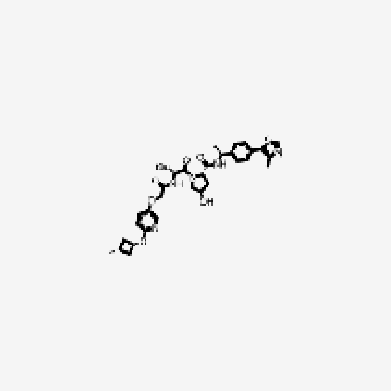 Cc1ncsc1-c1ccc([C@H](C)NC(=O)[C@@H]2C[C@@H](O)CN2C(=O)[C@@H](NC(=O)COc2ccc(O[C@H]3C[C@@H](C)C3)nc2)C(C)(C)C)cc1